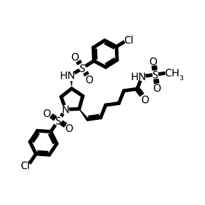 CS(=O)(=O)NC(=O)CCC/C=C\[C@@H]1C[C@@H](NS(=O)(=O)c2ccc(Cl)cc2)CN1S(=O)(=O)c1ccc(Cl)cc1